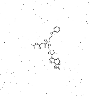 CC(C)OC(=O)CNP(=O)(CCCOc1ccccc1)OC[C@@H]1C[C@H](C)[C@H](n2cnc3c(N)ncnc32)O1